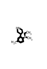 CCN(C)c1ccc(C)cc1C1CCNCC1